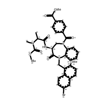 COC(=O)c1ccc(C(=O)N2C[C@H](NC(=O)C(C)N(C)C(=O)OC(C)(C)C)C(=O)N(Cc3c(OC)ccc4cc(Br)ccc34)c3ccccc32)cc1